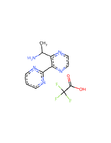 CC(N)c1nccnc1-c1ncccn1.O=C(O)C(F)(F)F